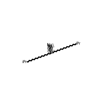 CC(C)CCCCCCCCCCCCCCCOCCCCCCCCCCCCCCCC(C)C.O=P([O-])([O-])[O-].[Na+].[Na+].[Na+]